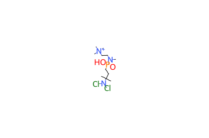 CN(CC[N+](C)(C)C)P(=O)(O)CCC(C)(C)N(Cl)Cl